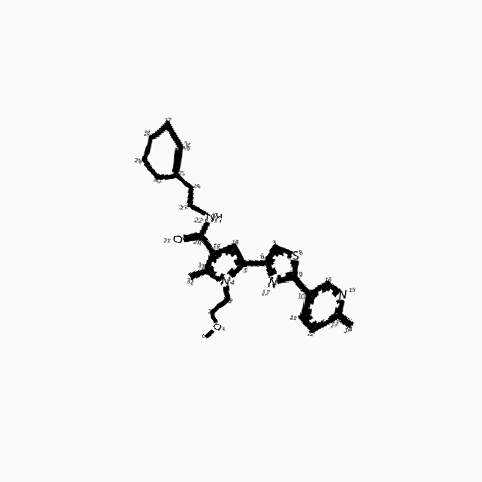 COCCn1c(-c2csc(-c3ccc(C)nc3)n2)cc(C(=O)NCCC2=CCCCC2)c1C